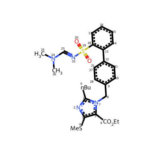 CCCCc1nc(SC)c(C(=O)OCC)n1Cc1ccc(-c2ccccc2S(=O)(=O)N=CN(C)C)cc1